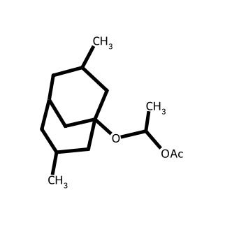 CC(=O)OC(C)OC12CC(C)CC(CC(C)C1)C2